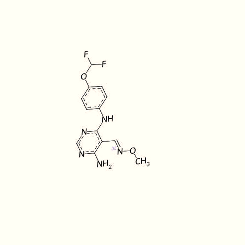 CO/N=C/c1c(N)ncnc1Nc1ccc(OC(F)F)cc1